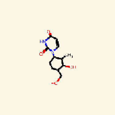 CC1C(O)C(CO)CCC1n1ccc(=O)[nH]c1=O